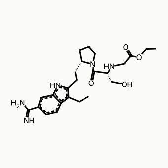 CCOC(=O)CN[C@H](CO)C(=O)N1CCC[C@H]1CCc1[nH]c2cc(C(=N)N)ccc2c1CC